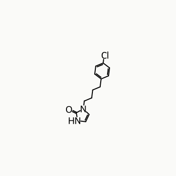 O=c1[nH]ccn1CCCCc1ccc(Cl)cc1